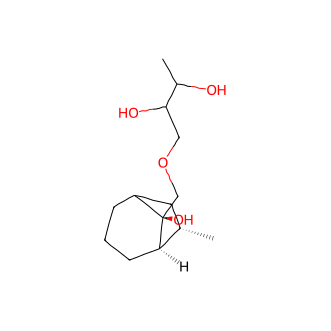 CC(O)C(O)COC[C@@]1(O)C2CCC[C@@H]1[C@@H](C)C2